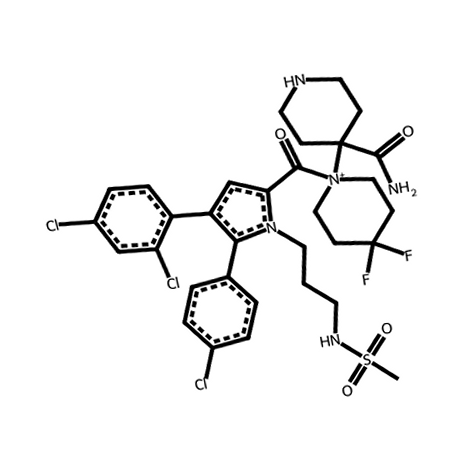 CS(=O)(=O)NCCCn1c(C(=O)[N+]2(C3(C(N)=O)CCNCC3)CCC(F)(F)CC2)cc(-c2ccc(Cl)cc2Cl)c1-c1ccc(Cl)cc1